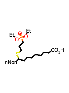 CCCCCCCCCC(CCCCCCCC(=O)O)SCCCP(=O)(OCC)OCC